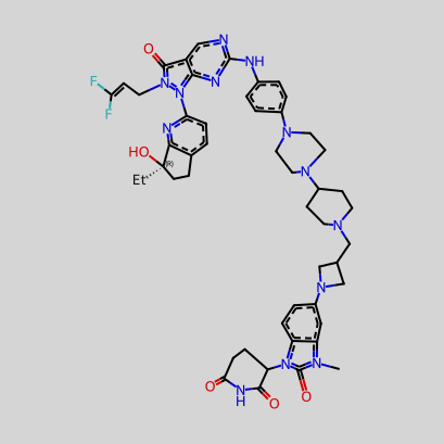 CC[C@@]1(O)CCc2ccc(-n3c4nc(Nc5ccc(N6CCN(C7CCN(CC8CN(c9ccc%10c(c9)n(C)c(=O)n%10C9CCC(=O)NC9=O)C8)CC7)CC6)cc5)ncc4c(=O)n3CC=C(F)F)nc21